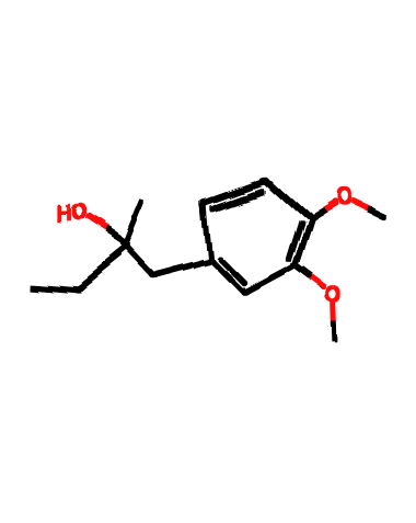 CCC(C)(O)Cc1ccc(OC)c(OC)c1